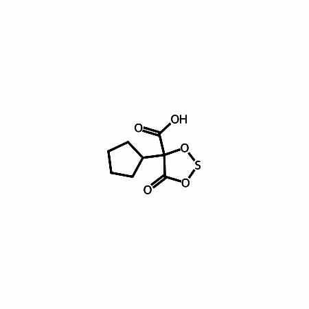 O=C(O)C1(C2CCCC2)OSOC1=O